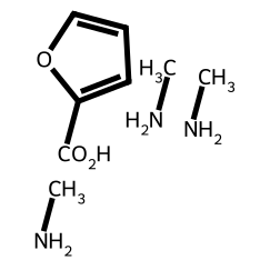 CN.CN.CN.O=C(O)c1ccco1